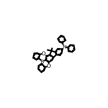 CC1(C)c2cc(N(c3ccccc3)c3ccccc3)ccc2-c2cc3c4c(c21)Oc1ccccc1B4c1ccccc1O3